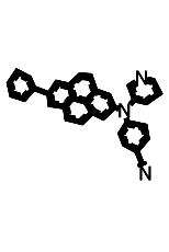 N#Cc1ccc(N(c2cccnc2)c2cc3ccc4cc(-c5ccccc5)cc5ccc(c2)c3c45)cc1